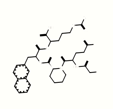 NC(=O)NCCCC(NC(=O)C(Cc1ccc2ccccc2c1)NC(=O)[C@@H]1CCCCN1C(=O)C(CCC(=O)O)NC(=O)CCl)C(N)=O